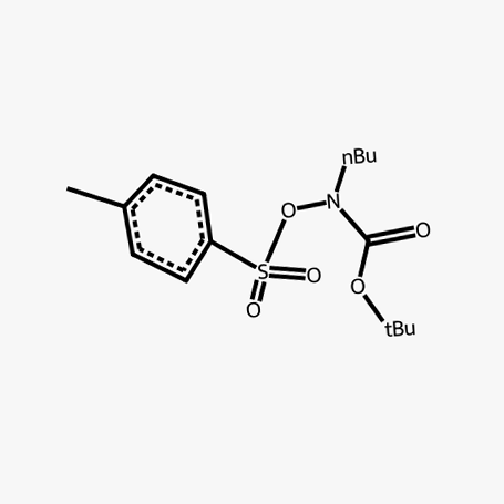 CCCCN(OS(=O)(=O)c1ccc(C)cc1)C(=O)OC(C)(C)C